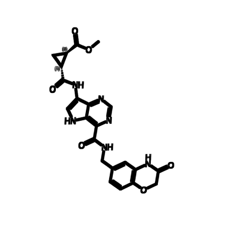 COC(=O)[C@@H]1C[C@H]1C(=O)Nc1c[nH]c2c(C(=O)NCc3ccc4c(c3)NC(=O)CO4)ncnc12